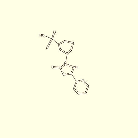 O=c1cc(-c2ccccc2)[nH]n1-c1cccc(S(=O)(=O)O)c1